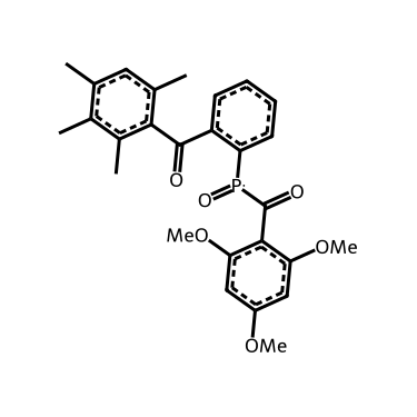 COc1cc(OC)c(C(=O)[P](=O)c2ccccc2C(=O)c2c(C)cc(C)c(C)c2C)c(OC)c1